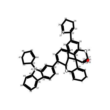 C1=CC2C(OC3=CCCC=C3C23c2ccccc2Oc2cc(C4=CCCC=N4)ccc23)C(c2ccc3c4ccccc4n(C4C=CCCC4)c3c2)=C1